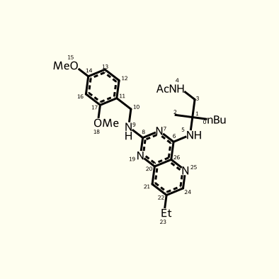 CCCCC(C)(CNC(C)=O)Nc1nc(NCc2ccc(OC)cc2OC)nc2cc(CC)cnc12